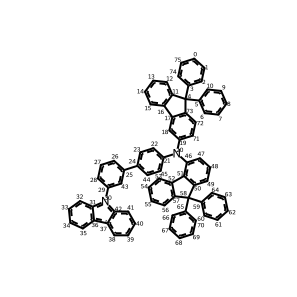 c1ccc(C2(c3ccccc3)c3ccccc3-c3cc(N(c4ccc(-c5cccc(-n6c7ccccc7c7ccccc76)c5)cc4)c4cccc5c4-c4ccccc4C5(c4ccccc4)c4ccccc4)ccc32)cc1